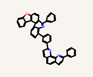 c1ccc(-c2ccc3ccc4ccc(-c5cccc(-c6cccc7c6nc(-c6ccccc6)c6ccc8oc9ccccc9c8c67)c5)nc4c3n2)cc1